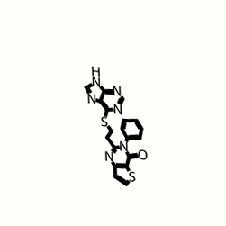 O=c1c2sccc2nc(CCSc2ncnc3[nH]cnc23)n1-c1ccccc1